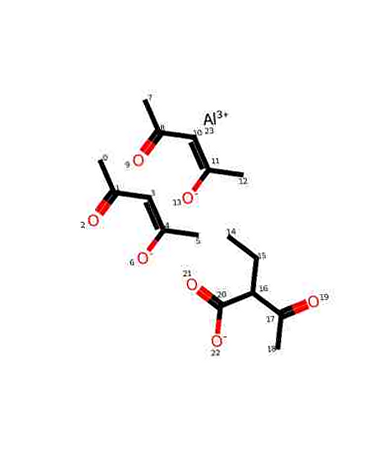 CC(=O)/C=C(/C)[O-].CC(=O)/C=C(/C)[O-].CCC(C(C)=O)C(=O)[O-].[Al+3]